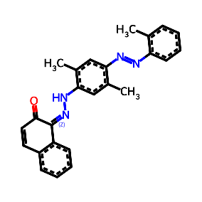 Cc1ccccc1N=Nc1cc(C)c(N/N=C2\C(=O)C=Cc3ccccc32)cc1C